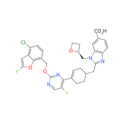 O=C(O)c1ccc2nc(CC3CC=C(c4nc(OCc5ccc(Cl)c6cc(F)oc56)ncc4F)CC3)n(C[C@@H]3CCO3)c2c1